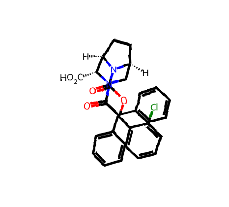 O=C(O)[C@@H]1[C@H]2CC[C@@H](CN1C(=O)C(c1ccccc1)c1ccccc1)N2C(=O)OCc1ccccc1Cl